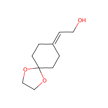 OCC=C1CCC2(CC1)OCCO2